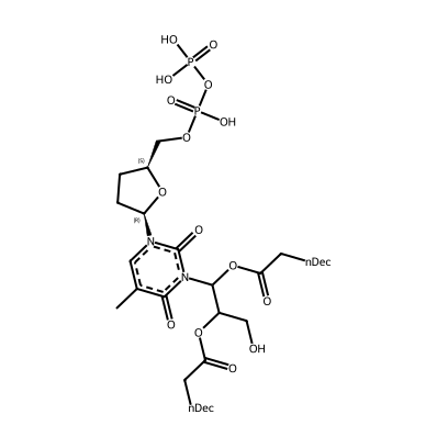 CCCCCCCCCCCC(=O)OC(CO)C(OC(=O)CCCCCCCCCCC)n1c(=O)c(C)cn([C@H]2CC[C@@H](COP(=O)(O)OP(=O)(O)O)O2)c1=O